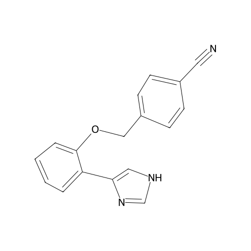 N#Cc1ccc(COc2ccccc2-c2c[nH]cn2)cc1